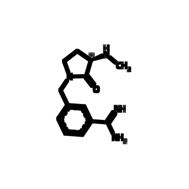 CN[C@@H]1CCN(Cc2cccc(C(=N)N)c2)C1=O